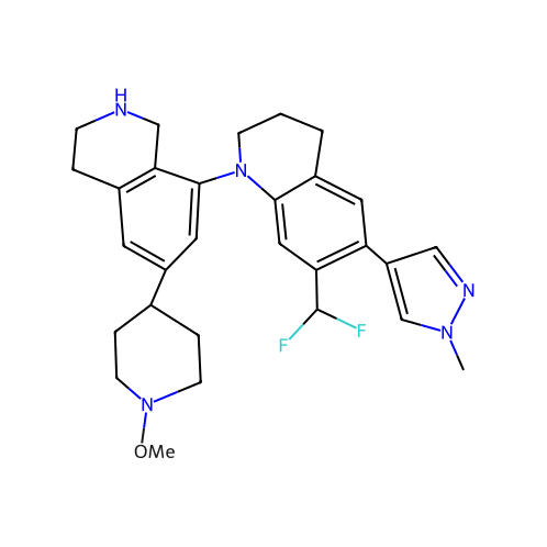 CON1CCC(c2cc3c(c(N4CCCc5cc(-c6cnn(C)c6)c(C(F)F)cc54)c2)CNCC3)CC1